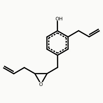 C=CCc1cc(CC2OC2CC=C)ccc1O